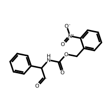 O=[C]C(NC(=O)OCc1ccccc1[N+](=O)[O-])c1ccccc1